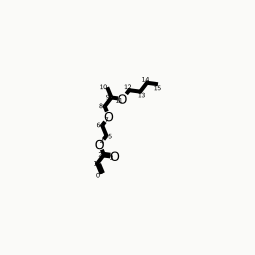 C=CC(=O)OCCOCC(C)OCCCC